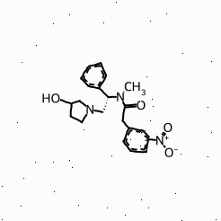 CN(C(=O)Cc1cccc([N+](=O)[O-])c1)[C@H](CN1CCC(O)C1)c1ccccc1